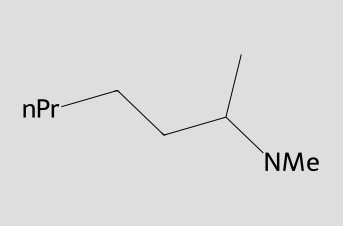 [CH2]NC(C)CCCCC